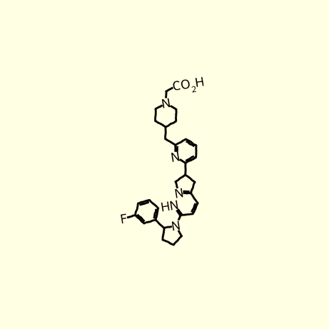 N=C(/C=C\C1=NCC(c2cccc(CC3CCN(CC(=O)O)CC3)n2)C1)N1CCCC1c1cccc(F)c1